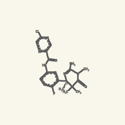 CN1C(=O)C(C)(C)[C@@](C)(c2cc(NC(=O)c3cnc(Cl)cn3)ccc2F)N=C1N